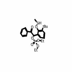 CCOP(=O)(OCC)OC(C(=O)c1ccccc1)c1cccc(C(C)(C)C)c1O[SiH](C)C